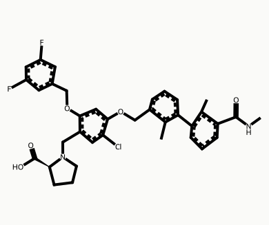 CNC(=O)c1cccc(-c2cccc(COc3cc(OCc4cc(F)cc(F)c4)c(CN4CCC[C@H]4C(=O)O)cc3Cl)c2C)c1C